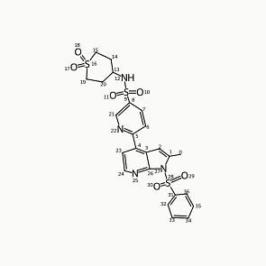 Cc1cc2c(-c3ccc(S(=O)(=O)NC4CCS(=O)(=O)CC4)cn3)ccnc2n1S(=O)(=O)c1ccccc1